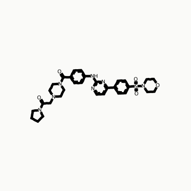 O=C(CN1CCN(C(=O)c2ccc(Nc3nccc(-c4ccc(S(=O)(=O)N5CCOCC5)cc4)n3)cc2)CC1)N1CCCC1